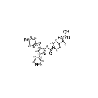 CC(NC(=O)O)C1CCN(C(=O)Cn2nc(-c3ccncc3)cc2Cc2ccc(F)cc2)CC1